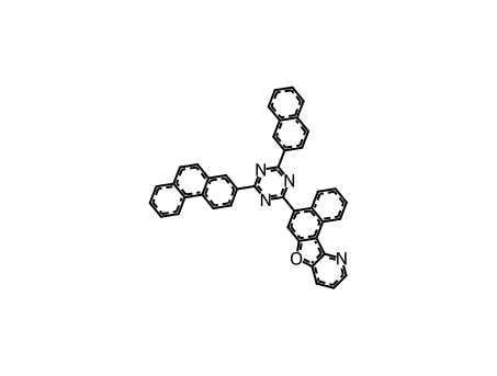 c1ccc2cc(-c3nc(-c4ccc5c(ccc6ccccc65)c4)nc(-c4cc5oc6cccnc6c5c5ccccc45)n3)ccc2c1